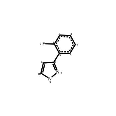 Fc1ccccc1C1=N[N]C=C1